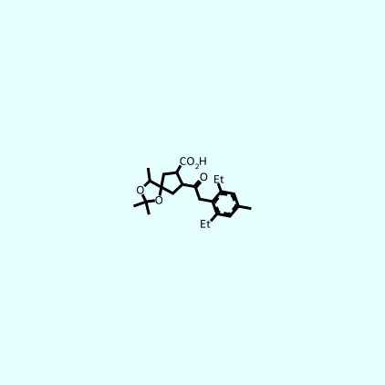 CCc1cc(C)cc(CC)c1CC(=O)C1CC2(CC1C(=O)O)OC(C)(C)OC2C